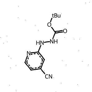 CC(C)(C)OC(=O)NNc1cc(C#N)ccn1